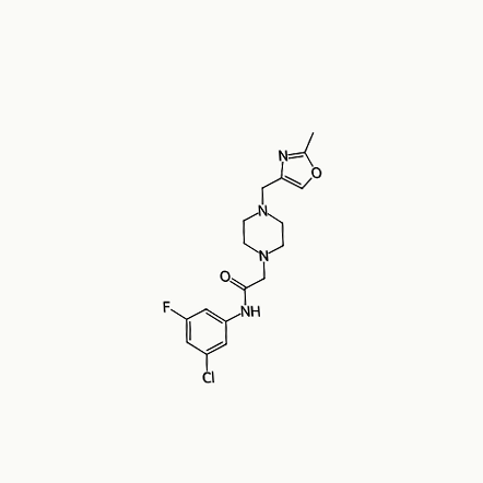 Cc1nc(CN2CCN(CC(=O)Nc3cc(F)cc(Cl)c3)CC2)co1